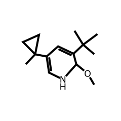 COC1NC=C(C2(C)CC2)C=C1C(C)(C)C